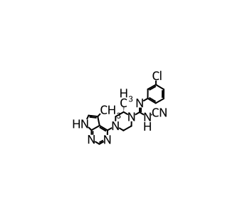 Cc1c[nH]c2ncnc(N3CCN(C(=Nc4cccc(Cl)c4)NC#N)[C@@H](C)C3)c12